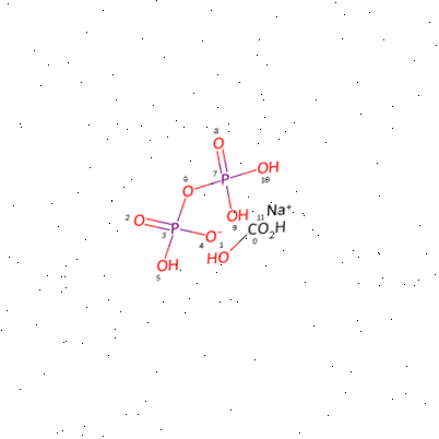 O=C(O)O.O=P([O-])(O)OP(=O)(O)O.[Na+]